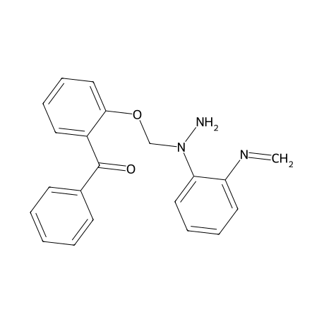 C=Nc1ccccc1N(N)COc1ccccc1C(=O)c1ccccc1